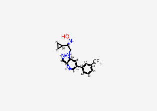 O/N=C(/Cn1ncc2ncc(-c3cccc(C(F)(F)F)c3)cc21)C1CC1